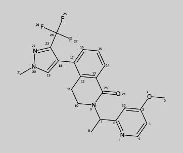 COc1ccnc(C(C)N2CCc3c(cccc3-c3cn(C)nc3C(F)(F)F)C2=O)c1